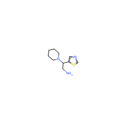 NCC(c1cncs1)N1CCCCC1